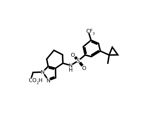 CC1(c2cc(C(F)(F)F)cc(S(=O)(=O)NC3CCCc4c3cnn4CC(=O)O)c2)CC1